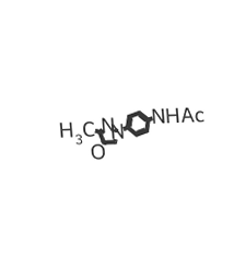 CC(=O)Nc1ccc(N2CC(=O)C(C)=N2)cc1